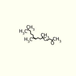 CC(=O)CC=C=C(C)CCC=C(C)CCCC(C)C